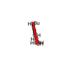 CC(C)(C)NCCOCCOCCCOCCOCCOCCOCCC(=O)NCCCCCC(=O)Nc1ccc(CCOC2OC(CO)CC(O)[C@H]2O)cc1